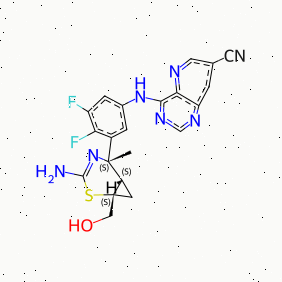 C[C@]1(c2cc(Nc3ncnc4cc(C#N)cnc34)cc(F)c2F)N=C(N)S[C@@]2(CO)C[C@H]21